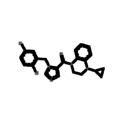 O=C(c1cncn1Cc1cc(Cl)ccc1Cl)N1CCN(C2CC2)c2ccccc21